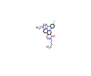 CCCCNC(=O)c1cn(-c2ccc(F)cc2Cl)c2nc(N(C)C)ccc2c1=O